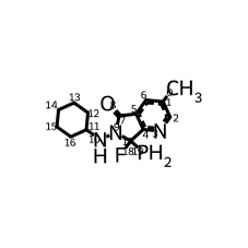 Cc1cnc2c(c1)C(=O)N(NC1CCCCC1)C2(F)P